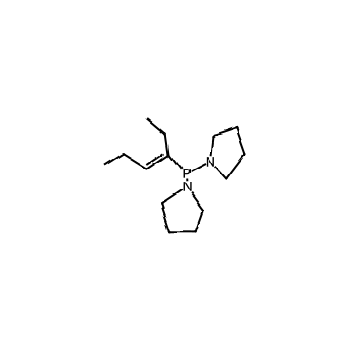 CC/C=C(\CC)P(N1CCCC1)N1CCCC1